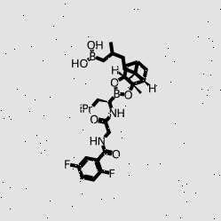 CC(C)C[C@H](NC(=O)CNC(=O)c1cc(F)ccc1F)B1O[C@@H]2CC3C[C@H]([C@]2(C)O1)[C@]3(C)CCC(C)CB(O)O